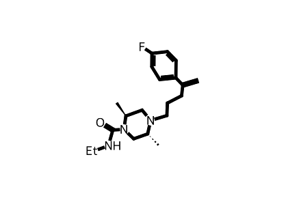 C=C(CCCN1C[C@H](C)N(C(=O)NCC)C[C@H]1C)c1ccc(F)cc1